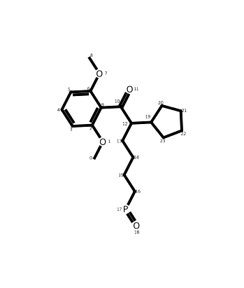 COc1cccc(OC)c1C(=O)C(CCCCP=O)C1CCCC1